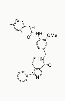 COc1cc(CNC(=O)c2cnn(-c3ccccc3)c2CF)ccc1NC(=O)Nc1cnc(C)cn1